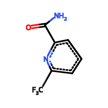 NC(=O)c1cccc(C(F)(F)F)n1